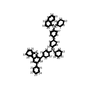 C1=CC(N(c2ccc(C3C=CC(N(C4=CC=C(c5cc(-c6ccccc6)cc6c5sc5ccccc56)CC4)c4ccccc4)=CC3)cc2)c2cccc3ccccc23)=CCC1